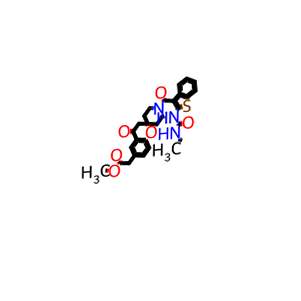 CCNC(=O)Nc1sc2ccccc2c1C(=O)N1CCC2(CC1)CC(=O)c1cc(CC(=O)OC)ccc1O2